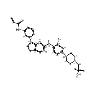 C=CC(=O)Nc1cccc(-n2cnc3cnc(Nc4ccc(N5CCN(CC(C)(C)O)CC5)cc4F)nc32)c1